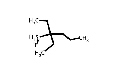 CCCC(CC)(CC)[SiH2]F